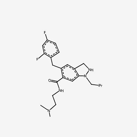 CC(C)CN1NCc2cc(Cc3ccc(F)cc3F)c(C(=O)NCCN(C)C)cc21